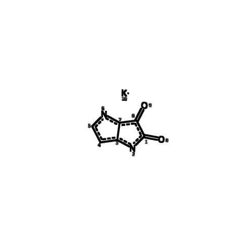 O=c1nc2ccnc-2c1=O.[K]